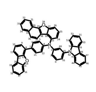 c1cc(N(c2ccc(-c3cccc4c3oc3ccccc34)cc2)c2cccc3oc4c5ccccc5ccc4c23)cc(-n2c3ccccc3c3ccccc32)c1